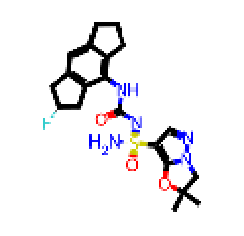 CC1(C)Cn2ncc([S@@](N)(=O)=NC(=O)Nc3c4c(cc5c3C[C@H](F)C5)CCC4)c2O1